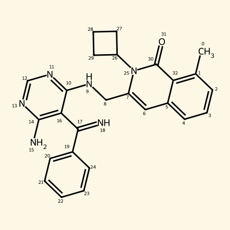 Cc1cccc2cc(CNc3ncnc(N)c3C(=N)c3ccccc3)n(C3CCC3)c(=O)c12